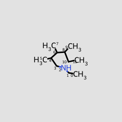 CCNCC(C)C(C)C(C)CC